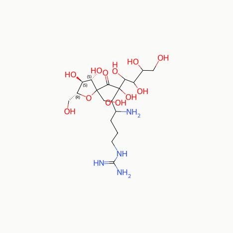 N=C(N)NCCCC(N)C(=O)C(O)(C(=O)C1(CO)O[C@H](CO)[C@@H](O)[C@@H]1O)C(O)C(O)C(O)CO